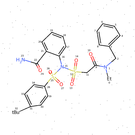 CCN(Cc1ccccc1)C(=O)CS(=O)(=O)N(c1ccccc1C(N)=O)S(=O)(=O)c1ccc(C(C)(C)C)cc1